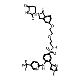 Cn1cnc(-c2cc(S(=O)(=O)NCCOCCOc3ccc4c(c3)CN([C@H]3CCC(=O)NC3=O)C4=O)ccc2Nc2ccc(C(F)(F)F)cn2)c1